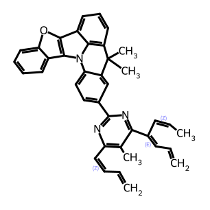 C=C/C=C\c1nc(-c2ccc3c(c2)C(C)(C)c2cccc4c5oc6ccccc6c5n-3c24)nc(C(/C=C\C)=C/C=C)c1C